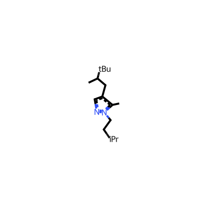 Cc1c(CC(C)C(C)(C)C)cnn1CCC(C)C